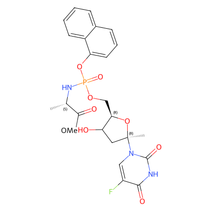 COC(=O)[C@H](C)NP(=O)(OC[C@H]1O[C@@](C)(n2cc(F)c(=O)[nH]c2=O)CC1O)Oc1cccc2ccccc12